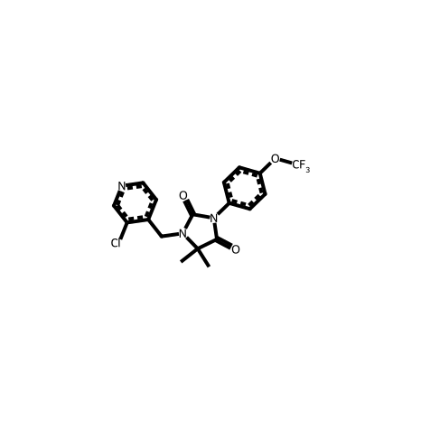 CC1(C)C(=O)N(c2ccc(OC(F)(F)F)cc2)C(=O)N1Cc1ccncc1Cl